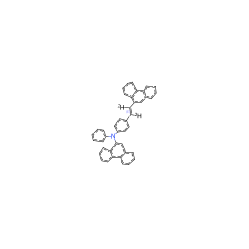 [2H]/C(=C(/[2H])c1cc2ccccc2c2ccccc12)c1ccc(N(c2ccccc2)c2cc3ccccc3c3ccccc23)cc1